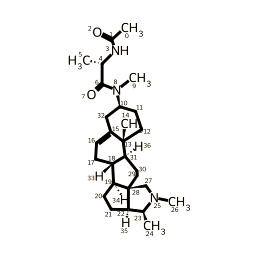 CC(=O)N[C@@H](C)C(=O)N(C)[C@H]1CC[C@@]2(C)C(=CC[C@H]3[C@@H]4CC[C@@H]5[C@H](C)N(C)C[C@@]54CC[C@@H]32)C1